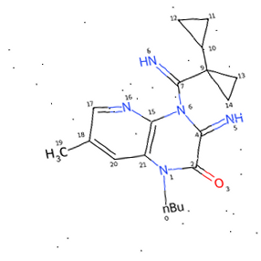 CCCCn1c(=O)c(=N)n(C(=N)C2(C3CC3)CC2)c2ncc(C)cc21